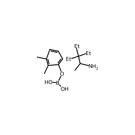 CCC(CC)(CC)C(C)N.Cc1cccc(OB(O)O)c1C